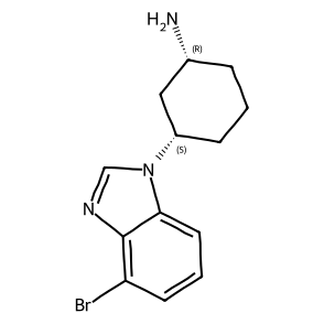 N[C@@H]1CCC[C@H](n2cnc3c(Br)cccc32)C1